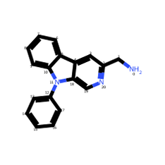 NCc1cc2c3ccccc3n(-c3ccccc3)c2cn1